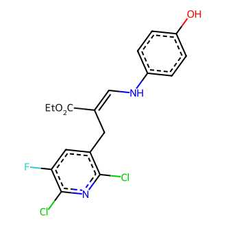 CCOC(=O)C(=CNc1ccc(O)cc1)Cc1cc(F)c(Cl)nc1Cl